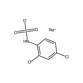 O=S(=O)([O-])Nc1ccc(Cl)cc1Cl.[Na+]